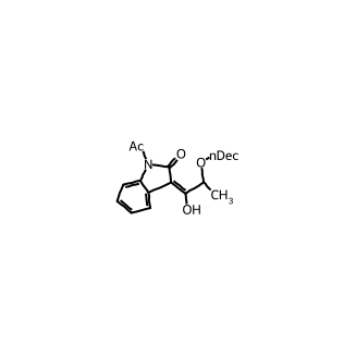 CCCCCCCCCCOC(C)C(O)=C1C(=O)N(C(C)=O)c2ccccc21